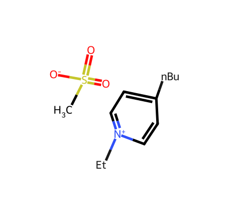 CCCCc1cc[n+](CC)cc1.CS(=O)(=O)[O-]